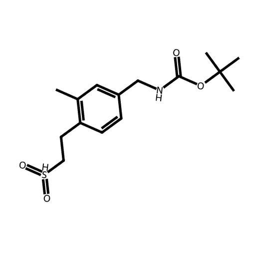 Cc1cc(CNC(=O)OC(C)(C)C)ccc1CC[SH](=O)=O